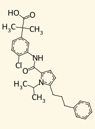 CC(C)n1c(CCCc2ccccc2)ccc1C(=O)Nc1cc(C(C)(C)C(=O)O)ccc1Cl